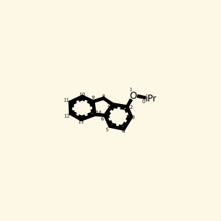 CC(C)Oc1cccc2c1Cc1ccccc1-2